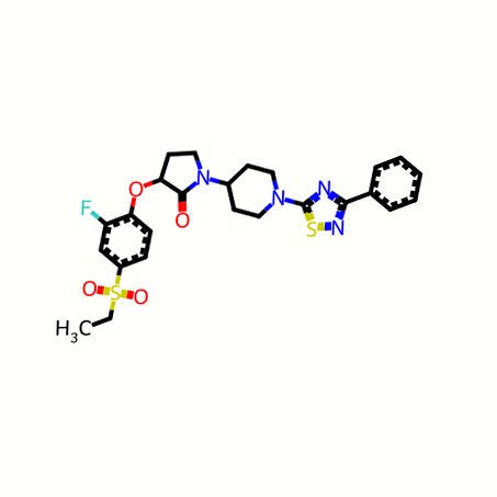 CCS(=O)(=O)c1ccc(OC2CCN(C3CCN(c4nc(-c5ccccc5)ns4)CC3)C2=O)c(F)c1